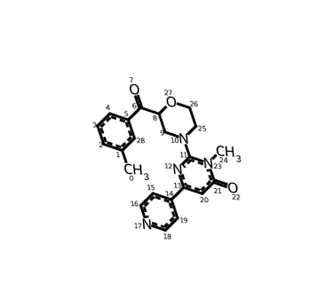 Cc1cccc(C(=O)C2CN(c3nc(-c4ccncc4)cc(=O)n3C)CCO2)c1